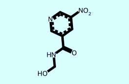 O=C(NCO)c1cncc([N+](=O)[O-])c1